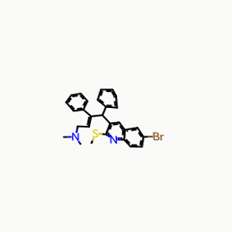 CSc1nc2ccc(Br)cc2cc1C(/C(=C/CN(C)C)c1ccccc1)c1ccccc1